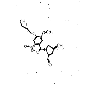 C=C1C[C@@H](C=O)N(C(=O)c2cc(OC)c(OCCCC)cc2[N+](=O)[O-])C1